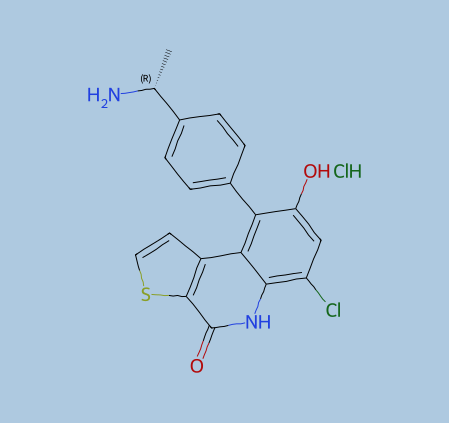 C[C@@H](N)c1ccc(-c2c(O)cc(Cl)c3[nH]c(=O)c4sccc4c23)cc1.Cl